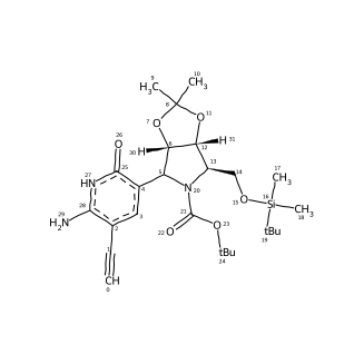 C#Cc1cc(C2[C@@H]3OC(C)(C)O[C@@H]3[C@@H](CO[Si](C)(C)C(C)(C)C)N2C(=O)OC(C)(C)C)c(=O)[nH]c1N